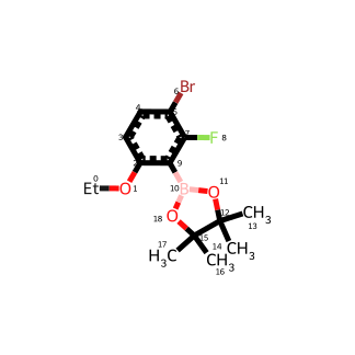 CCOc1ccc(Br)c(F)c1B1OC(C)(C)C(C)(C)O1